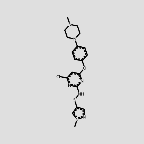 CN1CCN(c2ccc(Oc3cc(Cl)nc(NSc4cnn(C)c4)n3)cc2)CC1